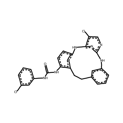 O=C(Nc1cccc(Cl)c1)Nc1ccc2cc1CCc1cccc(c1)Nc1ncc(Cl)c(n1)N2